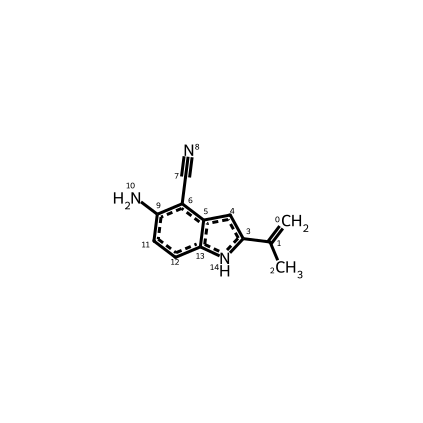 C=C(C)c1cc2c(C#N)c(N)ccc2[nH]1